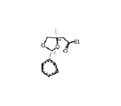 CCC(=O)C[C@]1(C)CO[C@@H](c2ccccc2)O1